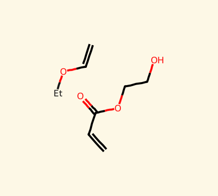 C=CC(=O)OCCO.C=COCC